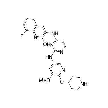 COc1cc(Nc2nccc(Nc3cc4cccc(F)c4nc3O)n2)cnc1OC1CCNCC1